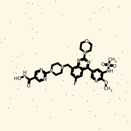 COc1ncc(-c2nc(N3CCOCC3)nc3c(CN4CCN(c5ncc(C(=O)NO)cn5)CC4)cc(F)cc23)cc1NS(C)(=O)=O